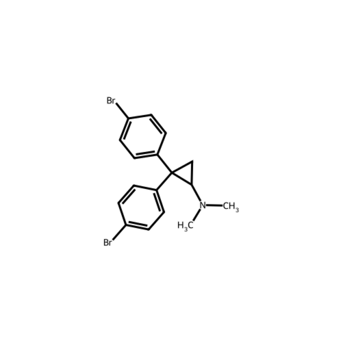 CN(C)C1CC1(c1ccc(Br)cc1)c1ccc(Br)cc1